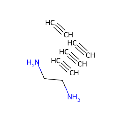 C#C.C#C.C#C.C#C.NCCN